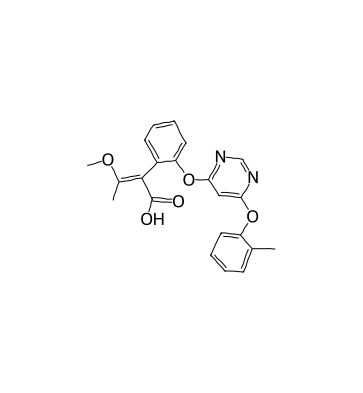 COC(C)=C(C(=O)O)c1ccccc1Oc1cc(Oc2ccccc2C)ncn1